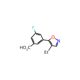 CCc1cnoc1-c1cc(F)cc(C(=O)O)c1